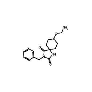 NCOB1CCC2(CC1)NC(=O)N(Cc1ccccn1)C2=O